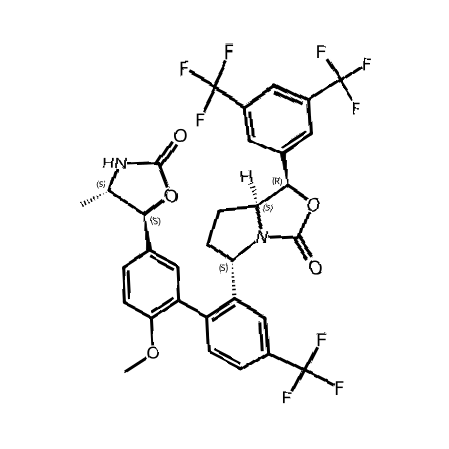 COc1ccc([C@@H]2OC(=O)N[C@H]2C)cc1-c1ccc(C(F)(F)F)cc1[C@@H]1CC[C@H]2[C@@H](c3cc(C(F)(F)F)cc(C(F)(F)F)c3)OC(=O)N12